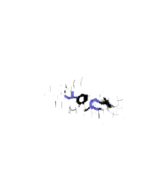 C=CN(C)/C=C(\C=C\C)c1cccc(NC(=C)C(/C=C\CC(C)(C)C)=C/CC)c1C